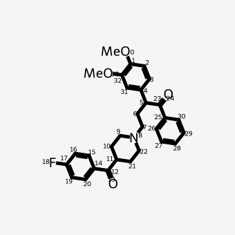 COc1ccc(C(CCN2CCC(C(=O)c3ccc(F)cc3)CC2)C(=O)c2ccccc2)cc1OC